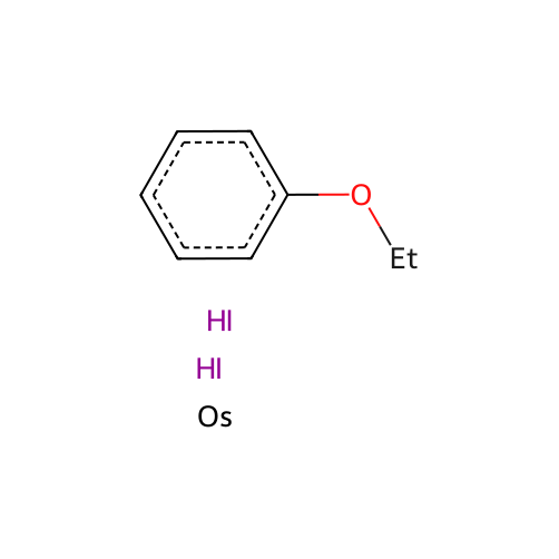 CCOc1ccccc1.I.I.[Os]